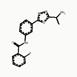 CC(N)c1nnc(-c2cccc(NC(=O)c3ccccc3F)c2)o1